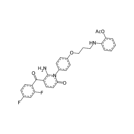 CC(=O)Oc1ccccc1NCCCOc1ccc(-n2c(N)c(C(=O)c3ccc(F)cc3F)ccc2=O)cc1